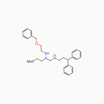 CSCCC(CNCCC(c1ccccc1)c1ccccc1)NCCOCc1ccccc1